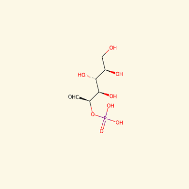 O=C[C@H](OP(=O)(O)O)[C@H](O)[C@H](O)[C@H](O)CO